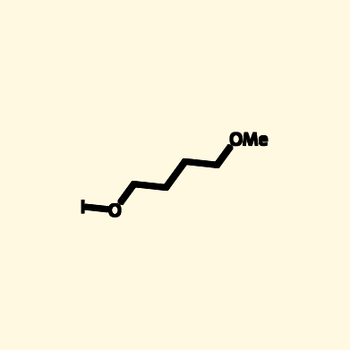 COCCCCOI